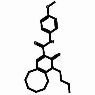 CCCCn1c2c(cc(C(=O)Nc3ccc(OC)cc3)c1=O)CCCCCC2